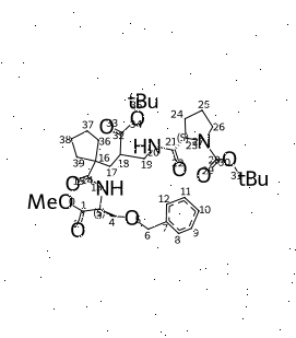 COC(=O)[C@H](COCc1ccccc1)NC(=O)C1(CC(CNC(=O)[C@@H]2CCCN2C(=O)OC(C)(C)C)C(=O)OC(C)(C)C)CCCC1